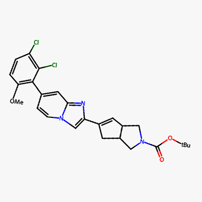 COc1ccc(Cl)c(Cl)c1-c1ccn2cc(C3=CC4CN(C(=O)OC(C)(C)C)CC4C3)nc2c1